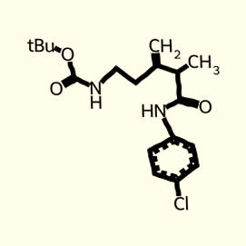 C=C(CCNC(=O)OC(C)(C)C)C(C)C(=O)Nc1ccc(Cl)cc1